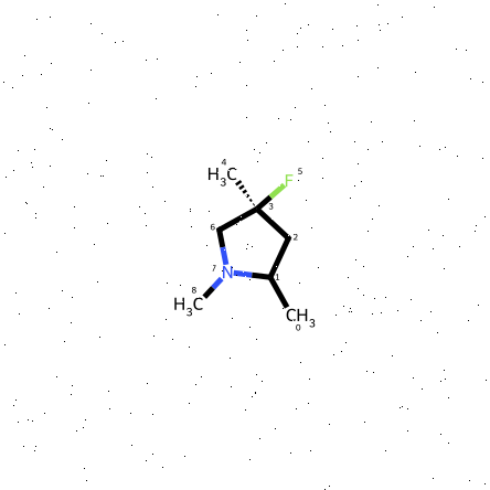 CC1C[C@](C)(F)CN1C